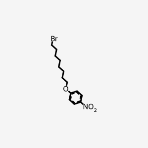 O=[N+]([O-])c1ccc(OCCCCCCCCBr)cc1